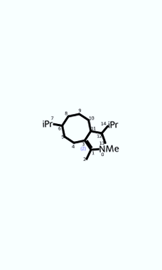 CN/C(C)=C1/CCC(C(C)C)CCCC1C(C)C(C)C